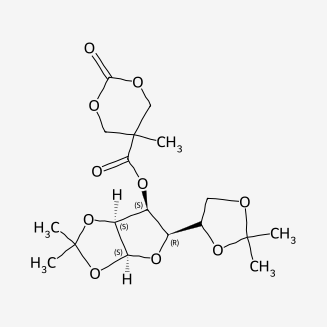 CC1(C)OCC([C@H]2O[C@H]3OC(C)(C)O[C@H]3[C@H]2OC(=O)C2(C)COC(=O)OC2)O1